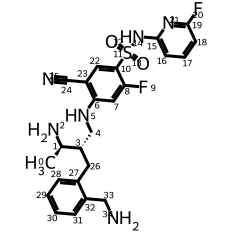 C[C@@H](N)[C@H](CNc1cc(F)c(S(=O)(=O)Nc2cccc(F)n2)cc1C#N)Cc1ccccc1CN